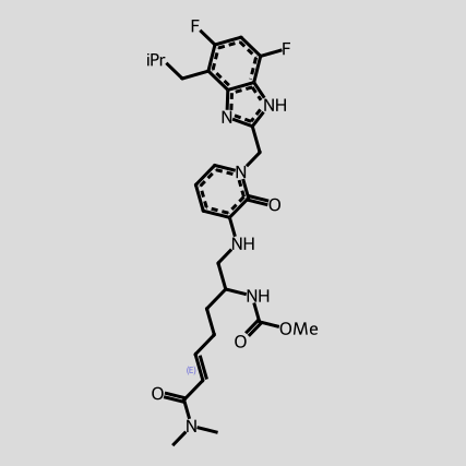 COC(=O)NC(CC/C=C/C(=O)N(C)C)CNc1cccn(Cc2nc3c(CC(C)C)c(F)cc(F)c3[nH]2)c1=O